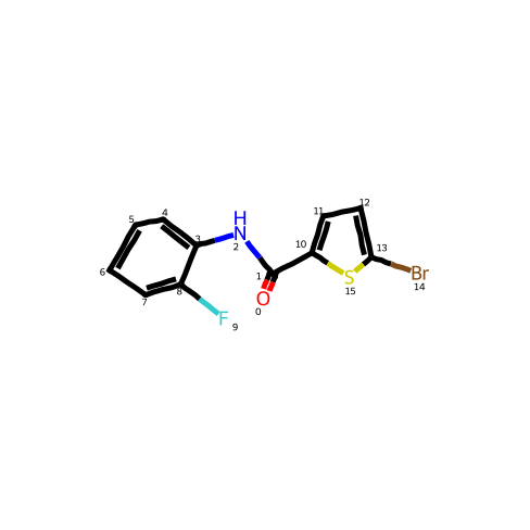 O=C(Nc1ccccc1F)c1ccc(Br)s1